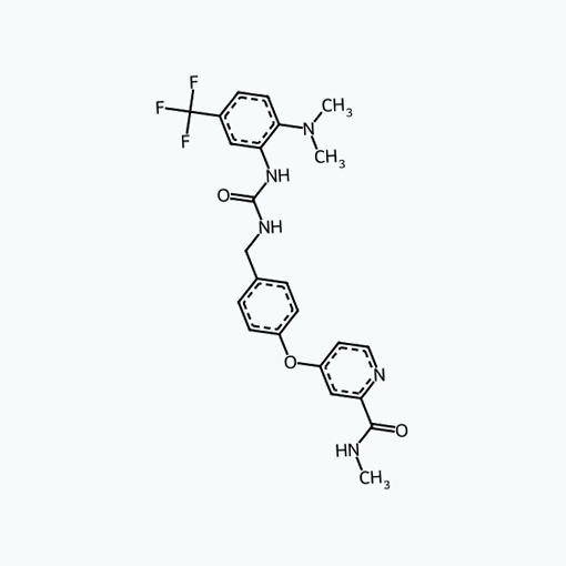 CNC(=O)c1cc(Oc2ccc(CNC(=O)Nc3cc(C(F)(F)F)ccc3N(C)C)cc2)ccn1